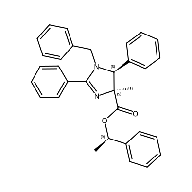 C[C@@H](OC(=O)[C@@]1(C)N=C(c2ccccc2)N(Cc2ccccc2)[C@H]1c1ccccc1)c1ccccc1